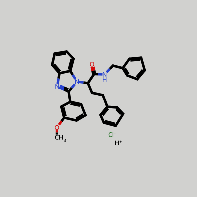 COc1cccc(-c2nc3ccccc3n2C(CCc2ccccc2)C(=O)NCc2ccccc2)c1.[Cl-].[H+]